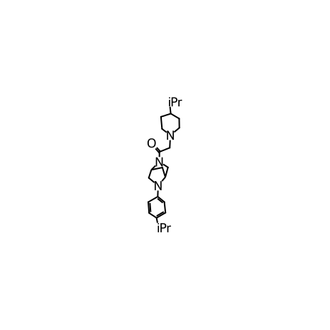 CC(C)c1ccc(N2CC3CC2CN3C(=O)CN2CCC(C(C)C)CC2)cc1